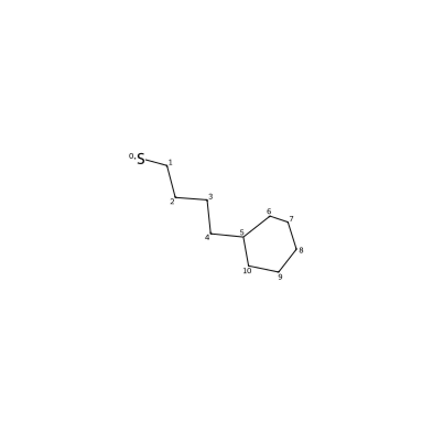 [S]CCCCC1CCCCC1